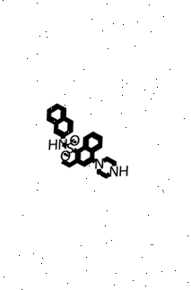 CCc1cc(N2CCNCC2)c2ccccc2c1S(=O)(=O)Nc1ccc2ccccc2c1